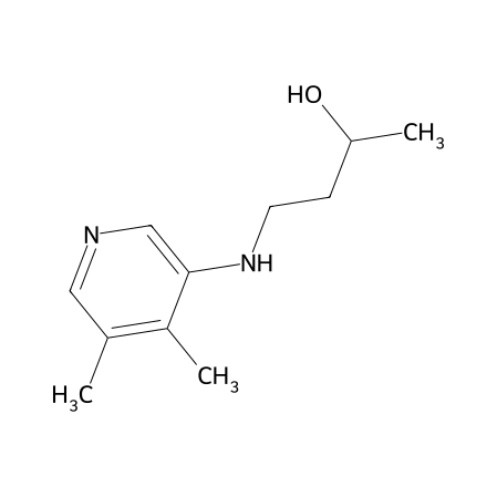 Cc1cncc(NCCC(C)O)c1C